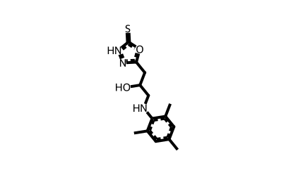 Cc1cc(C)c(NCC(O)Cc2n[nH]c(=S)o2)c(C)c1